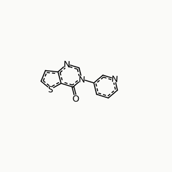 O=c1c2sccc2ncn1-c1cccnc1